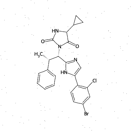 C[C@@H](c1ccccc1)[C@@H](c1ncc(-c2ccc(Br)cc2Cl)[nH]1)N1C(=O)NC(C2CC2)C1=O